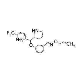 C=CCON=Cc1cccc(OC(c2ccc(C(F)(F)F)nn2)C2CCCNC2)c1